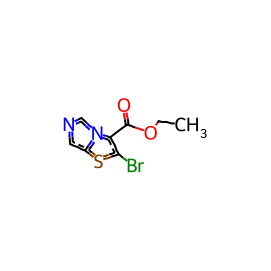 CCOC(=O)c1c(Br)sc2cncn12